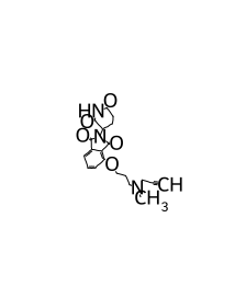 C#CCN(C)CCCOc1cccc2c1C(=O)N(C1CCC(=O)NC1=O)C2=O